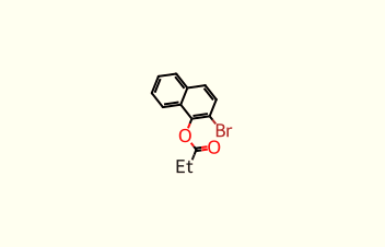 CCC(=O)Oc1c(Br)ccc2ccccc12